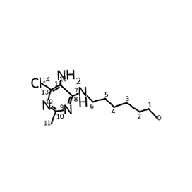 CCCCCCCNc1nc(C)nc(Cl)c1N